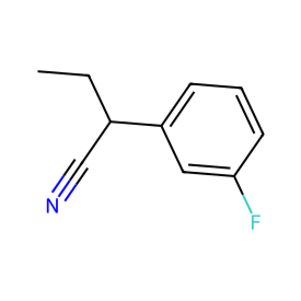 CCC(C#N)c1cccc(F)c1